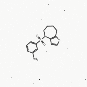 Nc1cccc(S(=O)(=O)N2CCCCc3sccc32)c1